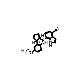 COc1ccc2c(c1)[C@@H]1C=CC[C@@H]1[C@H](c1ccc(C#N)c3cc[nH]c13)N2